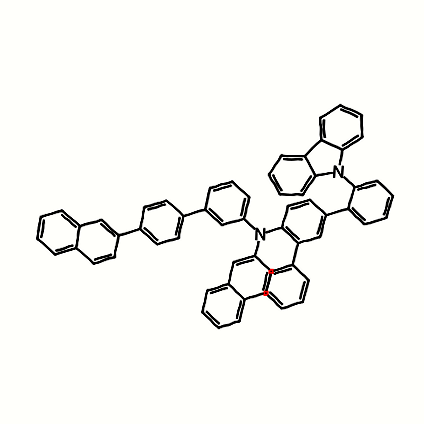 c1ccc(-c2cc(-c3ccccc3-n3c4ccccc4c4ccccc43)ccc2N(c2cccc(-c3ccc(-c4ccc5ccccc5c4)cc3)c2)c2ccc3ccccc3c2)cc1